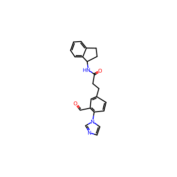 O=Cc1cc(CCC(=O)NC2CCc3ccccc32)ccc1-n1ccnc1